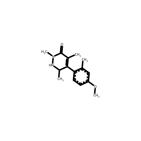 COc1ccc(C2=C(C)C(=O)N(C)NC2C)c(C)c1